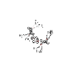 CCCCCCCCC1(CCCCCCC)c2ccccc2-c2cc3c(cc21)-c1ccc(-c2ccc4c(c2)Oc2cc(-c5ccc6c(c5)C(CCCCCCC)(CCCCCCCC)c5cc7c(cc5-6)C(CCCCCCCC)(CCCCCCCC)c5ccccc5-7)ccc2N4c2c(-c4ccccc4)cccc2-c2ccccc2)cc1C3(CCCCCCC)CCCCCCC